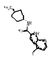 C[C@H]1CC[C@H](NC(=O)c2cc3c(F)ccnc3[nH]2)CC1